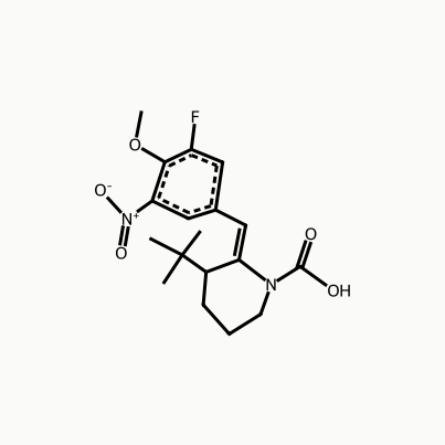 COc1c(F)cc(C=C2C(C(C)(C)C)CCCN2C(=O)O)cc1[N+](=O)[O-]